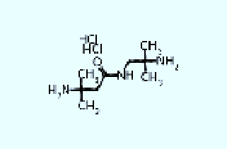 CC(C)(N)CNC(=O)CC(C)(C)N.Cl.Cl